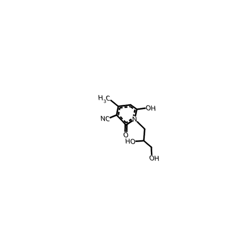 Cc1cc(O)n(CC(O)CO)c(=O)c1C#N